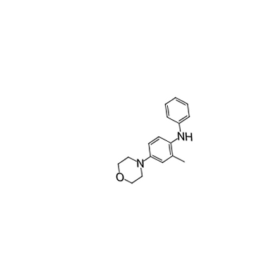 Cc1cc(N2CCOCC2)ccc1Nc1ccccc1